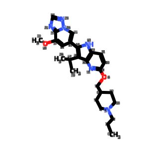 CCCN1CCC(COc2ccc3[nH]c(-c4cc(OC)c5ncnn5c4)c(C(C)C)c3n2)CC1